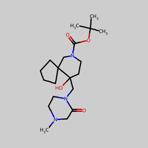 CN1CCN(CC2(O)CCN(C(=O)OC(C)(C)C)CC23CCCC3)C(=O)C1